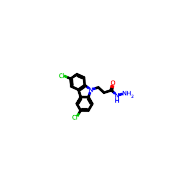 NNC(=O)CCn1c2ccc(Cl)cc2c2cc(Cl)ccc21